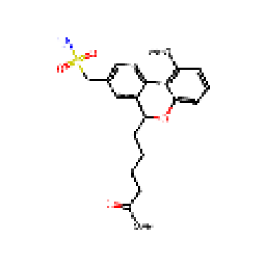 COC(=O)CCCCC1Oc2cccc(OC)c2-c2ccc(CS(N)(=O)=O)cc21